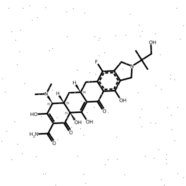 CN(C)[C@@H]1C(O)=C(C(N)=O)C(=O)[C@@]2(O)C(O)=C3C(=O)c4c(O)c5c(c(F)c4C[C@H]3C[C@@H]12)CN(C(C)(C)CO)C5